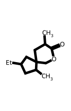 CCC1CC(C)C2(COC(=O)C(C)C2)C1